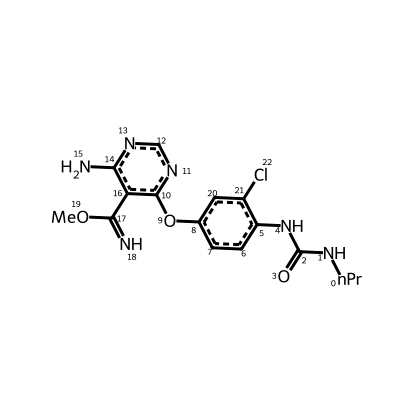 CCCNC(=O)Nc1ccc(Oc2ncnc(N)c2C(=N)OC)cc1Cl